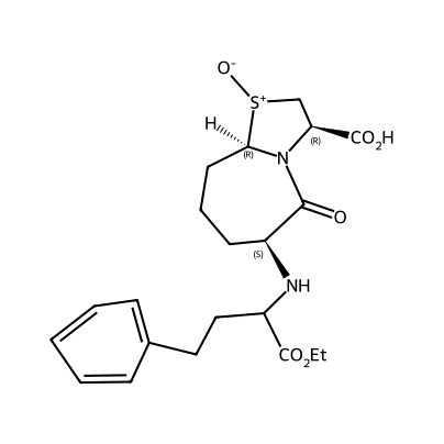 CCOC(=O)C(CCc1ccccc1)N[C@H]1CCC[C@@H]2N(C1=O)[C@H](C(=O)O)C[S+]2[O-]